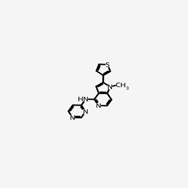 Cn1c(-c2ccsc2)cc2c(Nc3ccncn3)nccc21